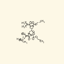 C=CCOC(=O)C(=O)N1C(=O)[C@@H]([C@@H](CO[SiH](C)C)C(C)(C)C)[C@H]1CC(=O)C1C[C@@H](C(=O)N(C)C)N(C(=O)OCC=C)C1